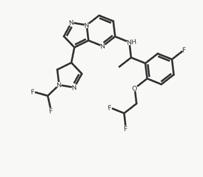 CC(Nc1ccn2ncc(C3C=NN(C(F)F)C3)c2n1)c1cc(F)ccc1OCC(F)F